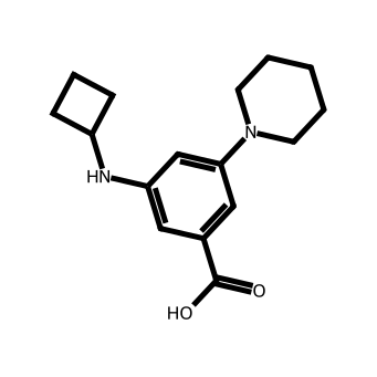 O=C(O)c1cc(NC2CCC2)cc(N2CCCCC2)c1